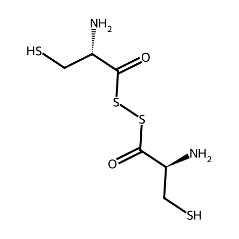 N[C@@H](CS)C(=O)SSC(=O)[C@@H](N)CS